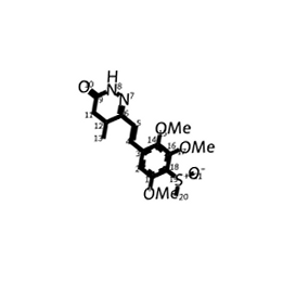 COc1cc(C=CC2=NNC(=O)CC2C)c(OC)c(OC)c1[S+](C)[O-]